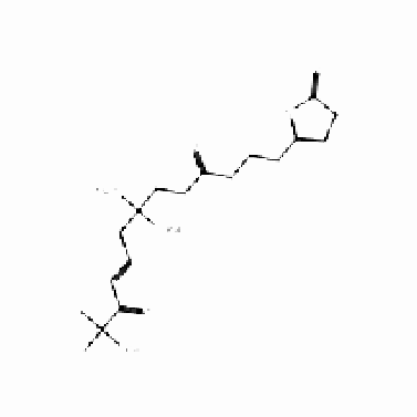 CCCCC(C)(C)C(=O)/C=C/CC(CCC(=O)CCCC1CCC(=O)O1)(OC)OC